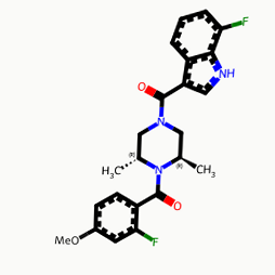 COc1ccc(C(=O)N2[C@H](C)CN(C(=O)c3c[nH]c4c(F)cccc34)C[C@H]2C)c(F)c1